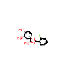 O=C(O)[C@]1(OCc2ccccc2F)C=C[C@@H](O)C(O)C1